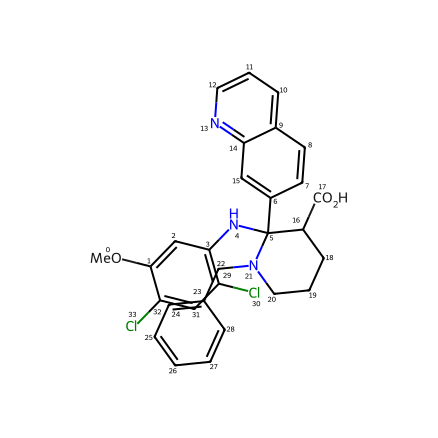 COc1cc(NC2(c3ccc4cccnc4c3)C(C(=O)O)CCCN2Cc2ccccc2)c(Cl)cc1Cl